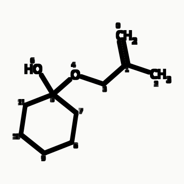 C=C(C)COC1(O)CCCCC1